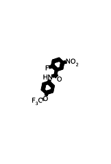 O=C(Nc1ccc(OC(F)(F)F)cc1)c1cc([N+](=O)[O-])ccc1F